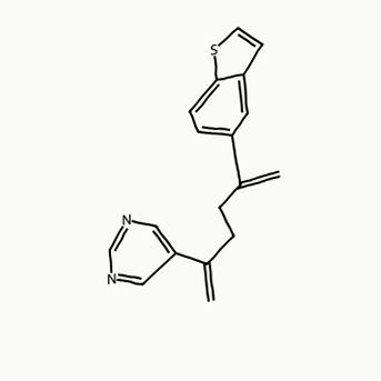 C=C(CCC(=C)c1ccc2sccc2c1)c1cncnc1